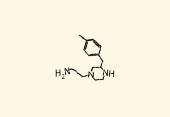 Cc1ccc(CC2CN(CCN)CCN2)cc1